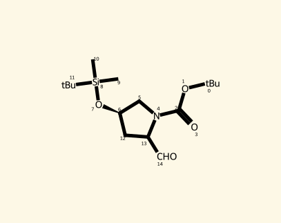 CC(C)(C)OC(=O)N1C[C@H](O[Si](C)(C)C(C)(C)C)CC1C=O